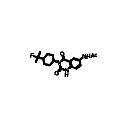 CC(=O)Nc1ccc2[nH]c(=O)n(C3CCC(C(C)(C)F)CC3)c(=O)c2c1